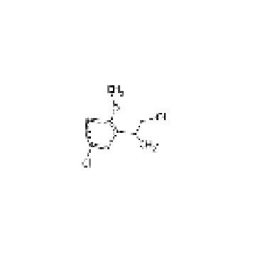 [CH2]C(CO)c1cc(Cl)ccc1OC